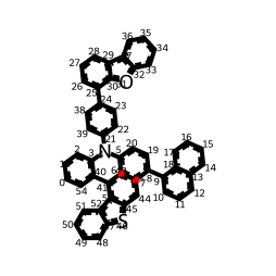 c1ccc(N(c2ccc(-c3cccc4ccccc34)cc2)c2ccc(-c3cccc4c3oc3ccccc34)cc2)c(-c2cccc3sc4ccccc4c23)c1